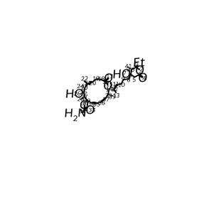 CC[C@@H]1OC(=O)C[C@@](O)(CCC/C=C(\C)[C@H]2OC(=O)CC/C=C(\C)[C@@H](C)[C@H](O)[C@H](C)[C@@H](OC(N)=O)/C=C\C=C/[C@@H]2C)[C@H]1C